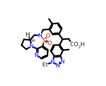 CCn1nnc2c(C)c(C(CC(=O)O)c3ccc(C)c(CN4C[C@H]5CCCN5c5ncccc5S4(=O)=O)c3)ccc21